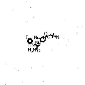 CC(C)(C#N)COC(=O)N1CC[C@H](n2cc(C(N)=O)c(Nc3ccc(F)cc3)n2)[C@@H](C#N)C1